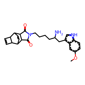 COc1ccc2[nH]cc(CC(N)CCCCN3C(=O)C4C5C=CC(C6C=CC65)C4C3=O)c2c1